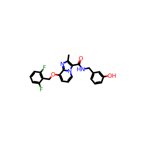 Cc1nc2c(OCc3c(F)cccc3F)cccn2c1C(=O)NCc1cccc(O)c1